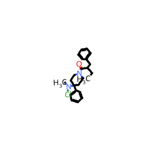 CCC(Cc1ccccc1)C(=O)N1CCC(c2ccccc2)(N(C)Cl)CC1